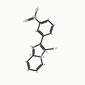 O=[N+]([O-])c1cccc(-c2nc3ccccn3c2I)c1